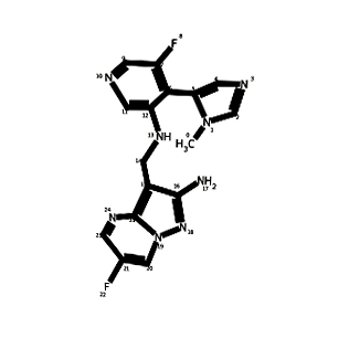 Cn1cncc1-c1c(F)cncc1NCc1c(N)nn2cc(F)cnc12